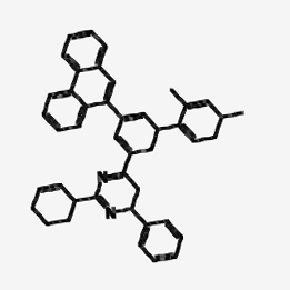 CC1=CC(C)CC=C1C1C=C(c2cc3ccccc3c3ccccc23)C=C(C2=NC(C3C=CCCC3)=NC(c3ccccc3)C2)C1